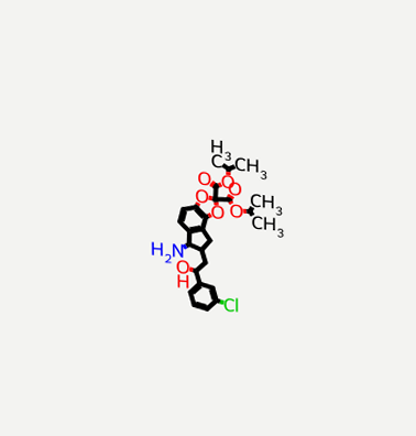 CC(C)OC(=O)C1(C(=O)OC(C)C)Oc2ccc3c(c2O1)CC(CC(O)c1cccc(Cl)c1)C3N